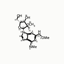 CNc1nc(NOC)nc2c1ncn2[C@@H]1O[C@H](CO)[C@@H](O)[C@@]1(C)F